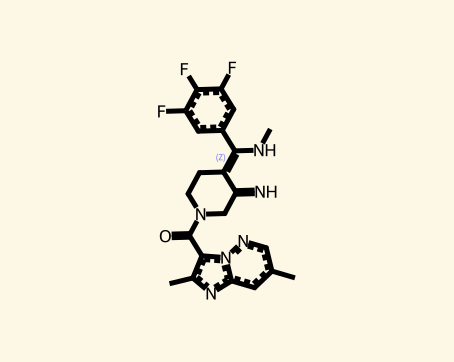 CN/C(=C1/CCN(C(=O)c2c(C)nc3cc(C)cnn23)CC1=N)c1cc(F)c(F)c(F)c1